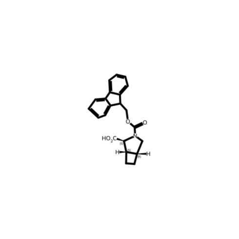 O=C(O)[C@@H]1[C@H]2CC[C@H]2CN1C(=O)OCC1c2ccccc2-c2ccccc21